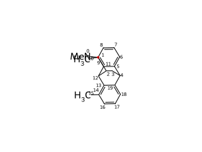 CNCC1CC2c3cccc(C)c3C1c1c(C)cccc12